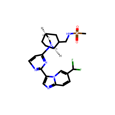 CS(=O)(=O)NCC1C[C@@H]2CC[C@H]1N(c1ccnc(-c3cnc4ccc(C(F)F)cn34)n1)C2